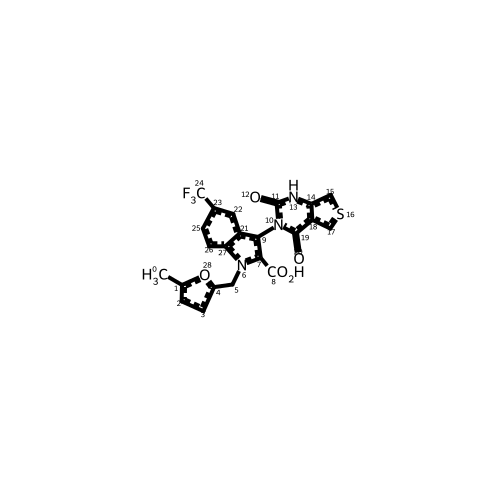 Cc1ccc(Cn2c(C(=O)O)c(-n3c(=O)[nH]c4cscc4c3=O)c3cc(C(F)(F)F)ccc32)o1